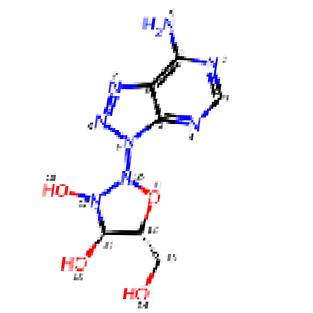 Nc1ncnc2c1nnn2N1O[C@H](CO)[C@@H](O)N1O